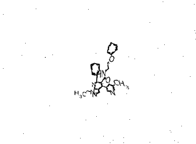 CCn1ncc2c(-c3cncc(C)c3)c(C(=O)NCCOc3ccccc3)c(-c3ccccc3)nc21